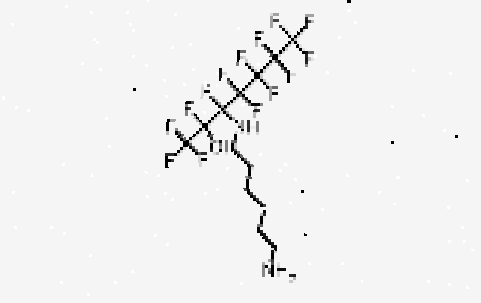 NCCCCCCNC(F)(C(O)(F)C(F)(F)F)C(F)(F)C(F)(F)C(F)(F)C(F)(F)F